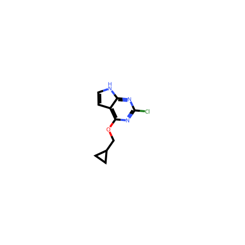 Clc1nc(OCC2CC2)c2cc[nH]c2n1